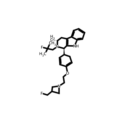 C[C@@H]1Cc2c([nH]c3ccccc23)[C@@H](C2C=CC(OCCN3CC(CF)C3)=CC2)N1CC(C)(C)F